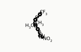 C[C@@H]1CN(c2ccc(OCC3CCn4cc([N+](=O)[O-])nc4O3)cc2)C[C@H](C)N1Cc1ccc(OCc2ccc(C(F)(F)F)cc2)cc1